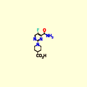 NC(=O)c1nc(N2CCC(C(=O)O)CC2)ncc1F